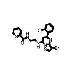 O=C(NCCNc1cc(-c2ccccc2Cl)nc2c(Br)cnn12)c1ccccn1